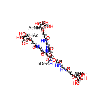 CCCCCCCCCCCC(=O)NC(COCCC(=O)NCCCNC(=O)CCCCOC1OC(CO)C(O)C(O)C1NC(C)=O)(COCCC(=O)NCCCNC(=O)CCCCOC1OC(CO)C(O)C(O)C1NC(C)=O)COCCC(=O)NCCCNC(=O)CCCCOC1OC(CO)C(O)C(O)C1NC(C)=O